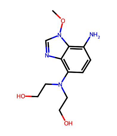 COn1cnc2c(N(CCO)CCO)ccc(N)c21